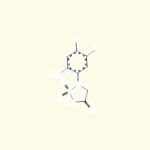 O=C1CN(c2cc(F)c(F)cc2O)S(=O)(=O)N1